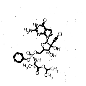 CC(C)OC(=O)[C@H](C)NP(=O)(OCC1OC(n2ccc3c(=O)[nH]c(N)nc32)C(O)(C#CCl)[C@H]1O)Oc1ccccc1